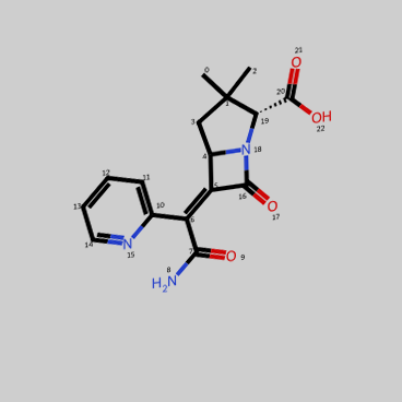 CC1(C)CC2/C(=C(/C(N)=O)c3ccccn3)C(=O)N2[C@H]1C(=O)O